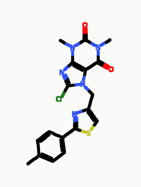 Cc1ccc(-c2nc(Cn3c(Cl)nc4c3c(=O)n(C)c(=O)n4C)cs2)cc1